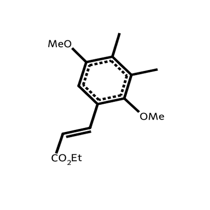 CCOC(=O)C=Cc1cc(OC)c(C)c(C)c1OC